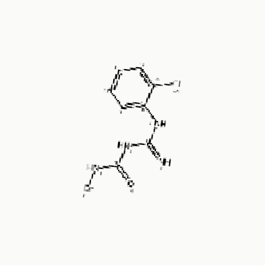 N=C(NC(=O)NBr)Nc1ccccc1Cl